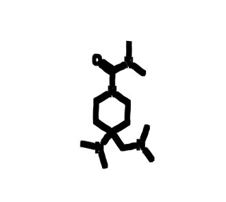 CN(C)CC1(N(C)C)CCN(C(=O)N(C)C)CC1